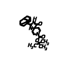 CC(C)(C)OC(=O)N1CCC2(CC1)N=C(C13CC4CC(CC(C4)C1)C3)NC2=O